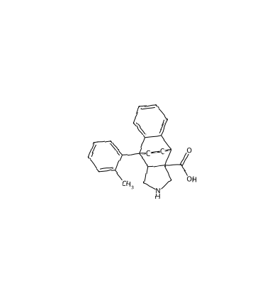 Cc1ccccc1C12CCC(c3ccccc31)C1(C(=O)O)CNCC21